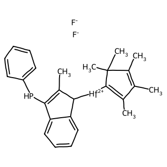 CC1=C(C)C(C)(C)[C]([Hf+2][CH]2C(C)=C(Pc3ccccc3)c3ccccc32)=C1C.[F-].[F-]